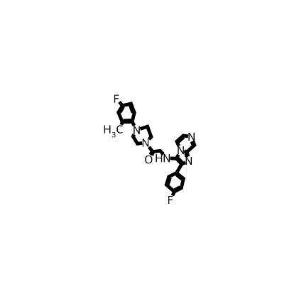 Cc1cc(F)ccc1N1CCN(C(=O)CNc2c(-c3ccc(F)cc3)nc3cnccn23)CC1